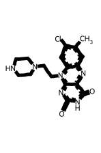 Cc1cc2nc3c(=O)[nH]c(=O)nc-3n(CCN3CCNCC3)c2cc1Cl